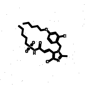 CCCCCOc1ccc(Cn2c(C)nc(Cl)c2C=CC(=O)NS(=O)(=O)CCCCC)c(Cl)c1